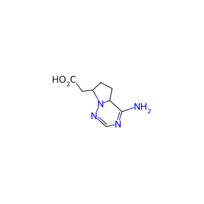 NC1=NC=NN2C(CC(=O)O)CCC12